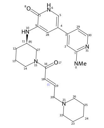 CNc1cc(-c2c[nH]c(=O)c(N[C@@H]3CCCN(C(=O)/C=C/CN4CCCCC4)C3)c2)ccn1